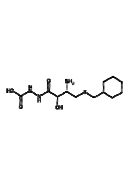 N[C@H](CSCC1CCCCC1)C(O)C(=O)NNC(=O)O